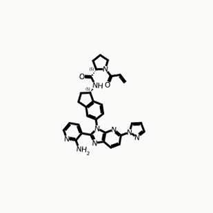 C=CC(=O)N1CCC[C@H]1C(=O)N[C@H]1CCc2cc(-n3c(-c4cccnc4N)nc4ccc(-n5cccn5)nc43)ccc21